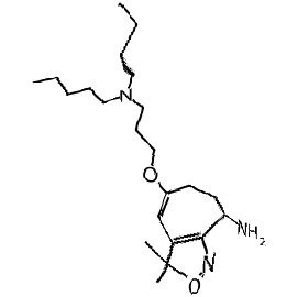 CCCCCN(CCCC)CCCOC1=CC(C(C)(C)C)=C(N=O)C(N)CC1